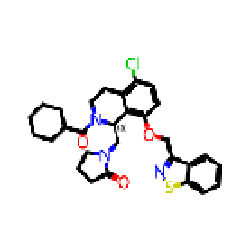 O=C1CCCN1C[C@@H]1c2c(OCc3nsc4ccccc34)ccc(Cl)c2CCN1C(=O)C1CCCCC1